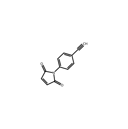 C#Cc1ccc(N2C(=O)C=CC2=O)cc1